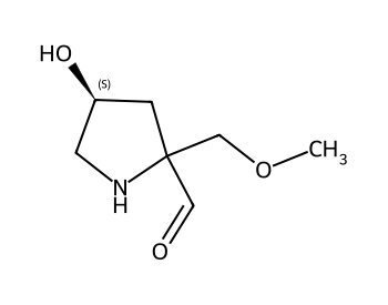 COCC1(C=O)C[C@H](O)CN1